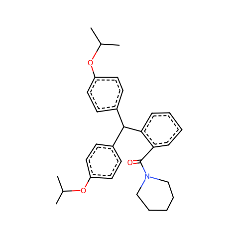 CC(C)Oc1ccc(C(c2ccc(OC(C)C)cc2)c2ccccc2C(=O)N2CCCCC2)cc1